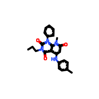 CCCn1c(=O)c2c(Nc3ccc(C)cc3)cc(=O)n(C)c2n(-c2ccccc2)c1=O